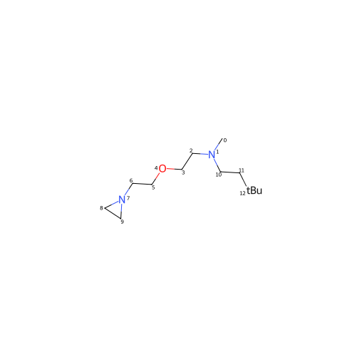 CN(CCOCCN1CC1)CCC(C)(C)C